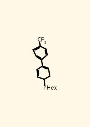 CCCCCCC1C=CC(c2ccc(C(F)(F)F)cc2)=CC1